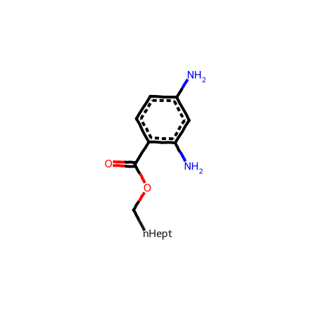 CCCCCCCCOC(=O)c1ccc(N)cc1N